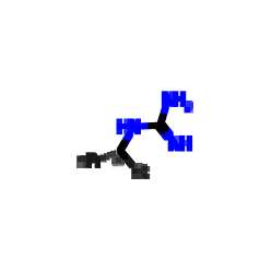 CCC[C@@H](CC)NC(=N)N